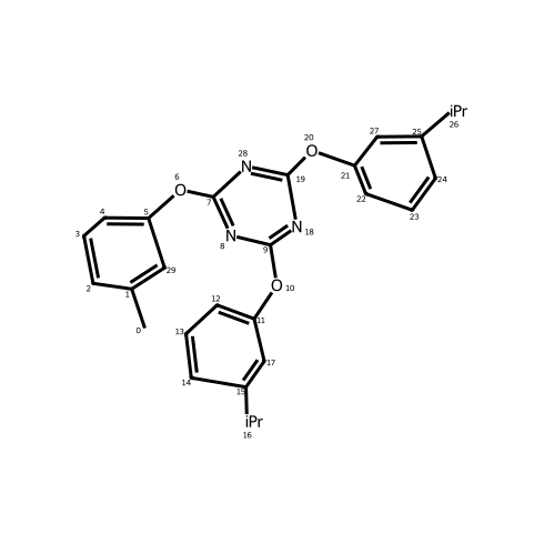 Cc1cccc(Oc2nc(Oc3cccc(C(C)C)c3)nc(Oc3cccc(C(C)C)c3)n2)c1